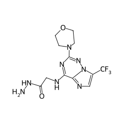 NNC(=O)CNc1nc(N2CCOCC2)nn2c(C(F)(F)F)cnc12